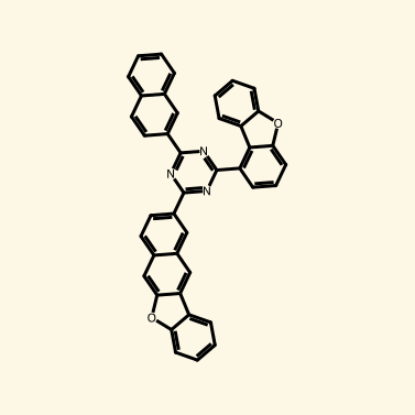 c1ccc2cc(-c3nc(-c4ccc5cc6oc7ccccc7c6cc5c4)nc(-c4cccc5oc6ccccc6c45)n3)ccc2c1